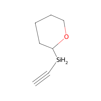 C#C[SiH2]C1CCCCO1